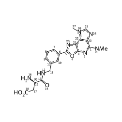 CNc1nc2oc(-c3cccc(CNC(=O)[C@H](N)CC(=O)O)c3)nc2c2c1ncn2C